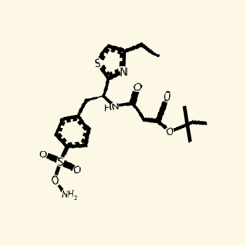 CCc1csc([C@H](Cc2ccc(S(=O)(=O)ON)cc2)NC(=O)CC(=O)OC(C)(C)C)n1